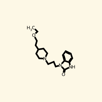 CCOCCC1CCN(CCCn2c(=O)[nH]c3ccccc32)CC1